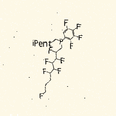 CCCC(C)CP(CC(F)C(F)C(F)C(F)C(F)CCCF)c1cc(F)c(F)c(F)c1F